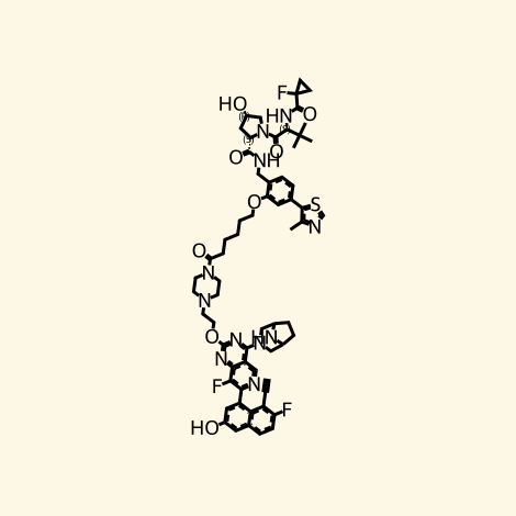 C#Cc1c(F)ccc2cc(O)cc(-c3ncc4c(N5CC6CCC(C5)N6)nc(OCCN5CCN(C(=O)CCCCCOc6cc(-c7scnc7C)ccc6CNC(=O)[C@@H]6C[C@@H](O)CN6C(=O)[C@@H](NC(=O)C6(F)CC6)C(C)(C)C)CC5)nc4c3F)c12